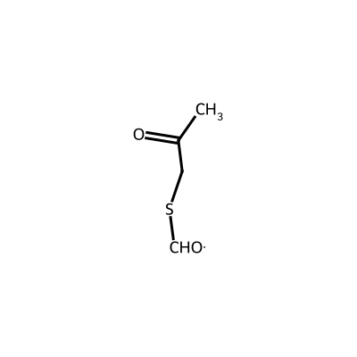 CC(=O)CS[C]=O